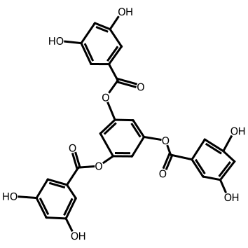 O=C(Oc1cc(OC(=O)c2cc(O)cc(O)c2)cc(OC(=O)c2cc(O)cc(O)c2)c1)c1cc(O)cc(O)c1